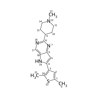 Cc1cc(-c2cc3nc(C4CCN(C)CC4)ncc3[nH]2)c(C)s1